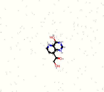 O=C(CO)c1ccnc2c(O)ncnc12